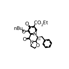 CCCCOc1c2n(cc(C(=O)OCC)c1=O)[C@@H](Cc1ccccc1)C1OCCN1C2=O